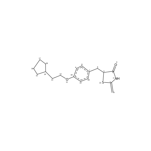 C=C1NC(=O)C(Cc2ccc(OCCC3CCCC3)cc2)S1